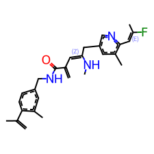 C=C(/C=C(/Cc1cnc(/C=C(\C)F)c(C)c1)NC)C(=O)NCc1ccc(C(=C)C)c(C)c1